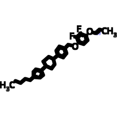 C/C=C/Oc1ccc(OCc2ccc(C3CCC(c4ccc(CCCCC)cc4)CC3)cc2)c(F)c1F